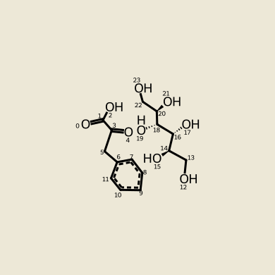 O=C(O)C(=O)Cc1ccccc1.OC[C@@H](O)[C@@H](O)[C@H](O)[C@H](O)CO